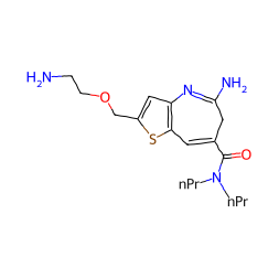 CCCN(CCC)C(=O)C1=Cc2sc(COCCN)cc2N=C(N)C1